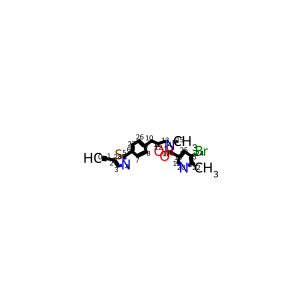 C#Cc1cnc(-c2ccc(C[C@H](O)CN(C)C(=O)c3cnc(C)c(Br)c3)cc2)s1